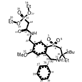 CCCC[C@]1(CC)CS(=O)(=O)c2cc(CNC(=O)CP(=O)(OCC)OCC)c(OC)cc2[C@@H](c2ccccc2)N1